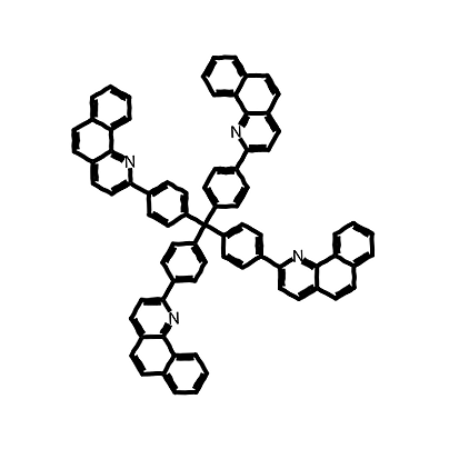 c1ccc2c(c1)ccc1ccc(-c3ccc(C(c4ccc(-c5ccc6ccc7ccccc7c6n5)cc4)(c4ccc(-c5ccc6ccc7ccccc7c6n5)cc4)c4ccc(-c5ccc6ccc7ccccc7c6n5)cc4)cc3)nc12